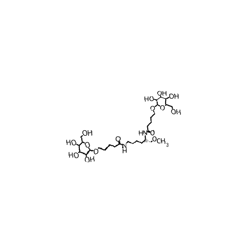 COC[C@H](CCCCNC(=O)CCCCOC1OC(CO)C(O)C(O)C1O)NC(=O)CCCCOC1OC(CO)C(O)C(O)C1O